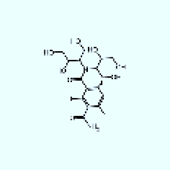 NC(=O)c1c(I)cc(I)c(C(=O)N(C(CO)C(O)CO)C(CO)C(O)CO)c1I